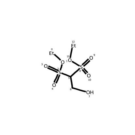 CCOS(=O)(=O)C(CO)S(=O)(=O)OCC